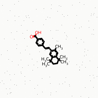 Cc1cc2c(cc1C=Cc1ccc(C(=O)O)cc1)C(C)(C)CCC2(C)C